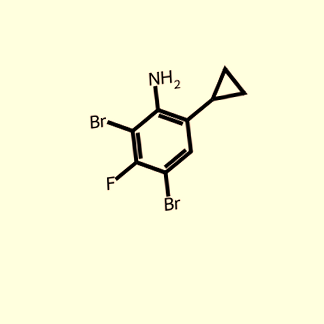 Nc1c(C2CC2)cc(Br)c(F)c1Br